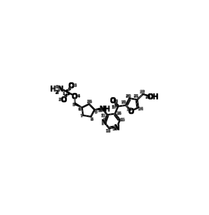 NS(=O)(=O)OC[C@@H]1CC[C@H](Nc2ncncc2C(=O)c2cc(CO)co2)C1